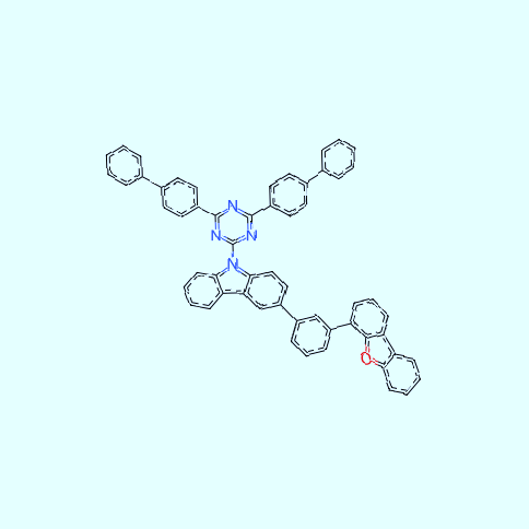 c1ccc(-c2ccc(-c3nc(-c4ccc(-c5ccccc5)cc4)nc(-n4c5ccccc5c5cc(-c6cccc(-c7cccc8c7oc7ccccc78)c6)ccc54)n3)cc2)cc1